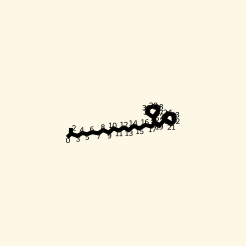 CC(C)CCCCCCCCCCCCCCCC(=Cc1ccccc1)c1ccccc1